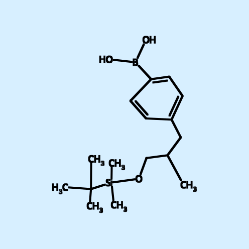 CC(CO[Si](C)(C)C(C)(C)C)Cc1ccc(B(O)O)cc1